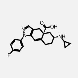 O=C(O)[C@]12Cc3cnn(-c4ccc(F)cc4)c3C=C1CC[C@H](NC1CC1)C2